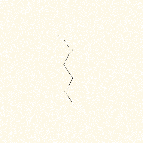 CC(=O)OCC[N][C]=O